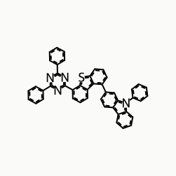 c1ccc(-c2nc(-c3ccccc3)nc(-c3cccc4c3sc3cccc(-c5ccc6c7ccccc7n(-c7ccccc7)c6c5)c34)n2)cc1